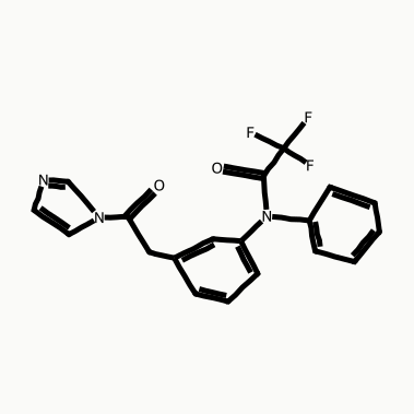 O=C(Cc1cccc(N(C(=O)C(F)(F)F)c2ccccc2)c1)n1ccnc1